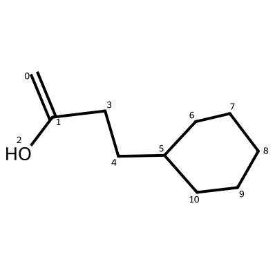 C=C(O)CCC1CCCCC1